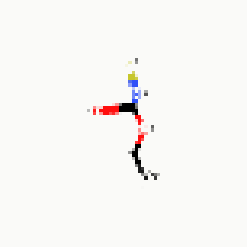 CCCCOC(=O)N=S